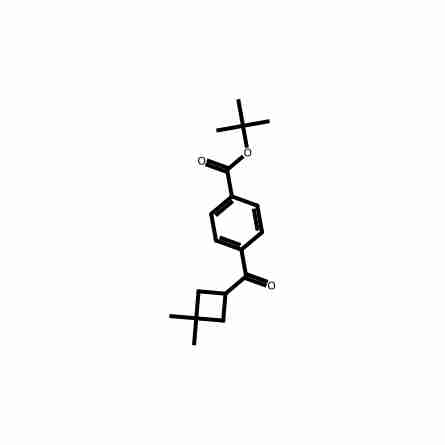 CC1(C)CC(C(=O)c2ccc(C(=O)OC(C)(C)C)cc2)C1